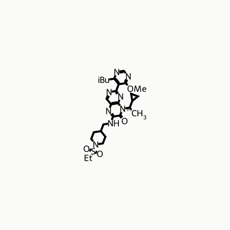 CCC(C)c1ncnc(OC)c1-c1ncc2nc(NCC3CCN(S(=O)(=O)CC)CC3)c(=O)n([C@H](C)C3CC3)c2n1